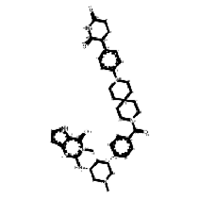 CN1C[C@H](Nc2nc3cc[nH]c3c(=O)n2C)C[C@H](c2ccc(C(=O)N3CCC4(CC3)CCN(c3ccc(C5CCC(=O)NC5=O)cc3)CC4)cc2)C1